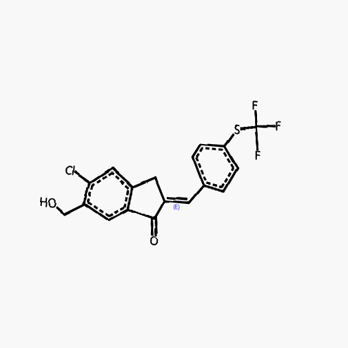 O=C1/C(=C/c2ccc(SC(F)(F)F)cc2)Cc2cc(Cl)c(CO)cc21